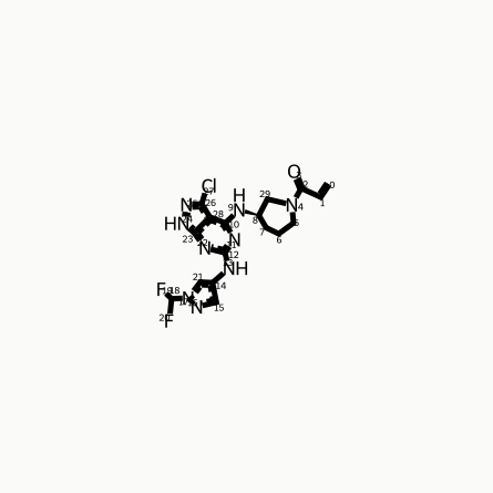 C=CC(=O)N1CCC[C@@H](Nc2nc(Nc3cnn(C(F)F)c3)nc3[nH]nc(Cl)c23)C1